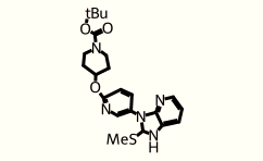 CSC1Nc2cccnc2N1c1ccc(OC2CCN(C(=O)OC(C)(C)C)CC2)nc1